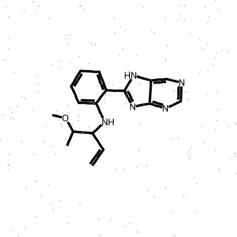 C=CC(Nc1ccccc1-c1nc2ncncc2[nH]1)C(C)OC